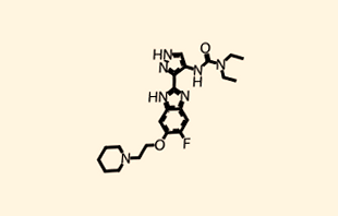 CCN(CC)C(=O)Nc1c[nH]nc1-c1nc2cc(F)c(OCCN3CCCCC3)cc2[nH]1